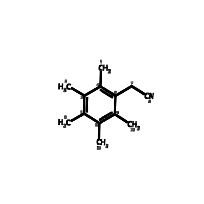 Cc1c(C)c(C)c(CC#N)c(C)c1C